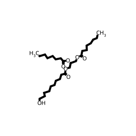 CCCCCCCC(=O)OCC(COC(=O)CCCCCCCCCO)OC(=O)CCCCCCC